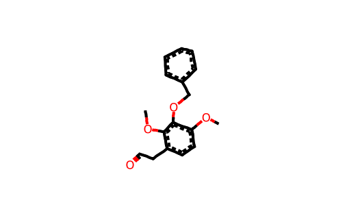 COc1ccc(CC=O)c(OC)c1OCc1ccccc1